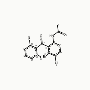 CC(=O)Nc1ccc(Cl)c(Br)c1C(=O)c1c(F)cccc1F